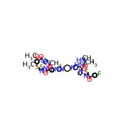 CN[C@@H](C)C(=O)N[C@H](C(=O)N1CCC[C@H]1c1nc(C(=O)c2ccc(F)cc2)cs1)C1CCN(C2CCCC(N3CCN(c4ccc(C(=O)Nc5ncc(Sc6cc(C(=O)N7CCN(C(C)=O)CC7)c(OC)cc6C)s5)cc4)CC3)CCC2)CC1